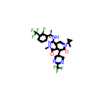 C[C@@H](Nc1nn(C)c(=O)c2c(-c3cnc(C(F)(F)F)nc3)c(=O)n(C3(C)CC3)cc12)c1cccc(C(F)(F)F)c1F